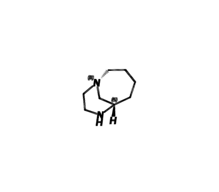 C1CC[N@@]2CCN[C@@H](C1)C2